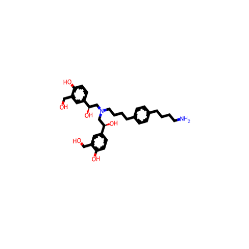 NCCCCc1ccc(CCCCN(C[C@@H](O)c2ccc(O)c(CO)c2)C[C@@H](O)c2ccc(O)c(CO)c2)cc1